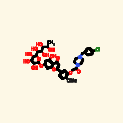 COc1ccc(-c2cc(=O)c3c(O)cc(OC4O[C@H]([C@H](O)[C@@H](O)[C@H](O)[C@@H](C)O)[C@@H](O)[C@H](O)[C@H]4O)cc3o2)cc1OCC(=O)N1CCN(Cc2ccc(Cl)cc2)CC1